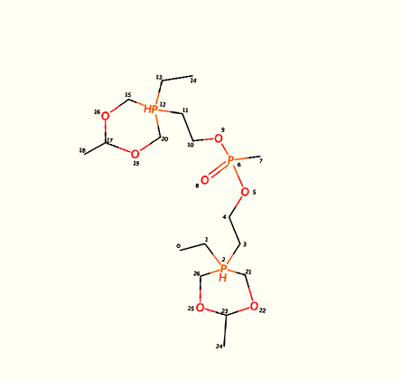 CC[PH]1(CCOP(C)(=O)OCC[PH]2(CC)COC(C)OC2)COC(C)OC1